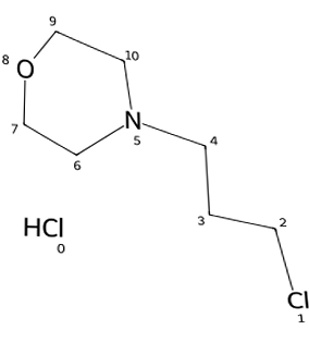 Cl.ClCCCN1CCOCC1